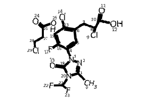 Cc1nn(-c2cc(CC(Cl)C(=O)O)c(Cl)cc2F)c(=O)n1C(F)F.O=C(O)CCCl